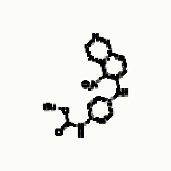 CC(C)(C)OC(=O)Nc1ccc(Nc2ccc3cnccc3c2[N+](=O)[O-])cc1